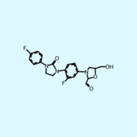 O=CC1OC(CO)CN1c1ccc(N2CCN(c3ccc(F)cc3)C2=O)c(F)c1